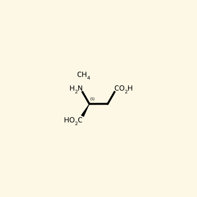 C.N[C@@H](CC(=O)O)C(=O)O